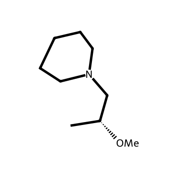 CO[C@H](C)CN1CCCCC1